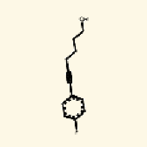 OCCCCC#Cc1ccc(F)cc1